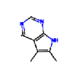 Cc1[nH]c2ncn[c]c2c1C